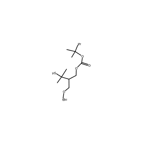 CC(C)C(C)(C)OC(=O)OCC(COC(C)(C)C)C(C)(C)S